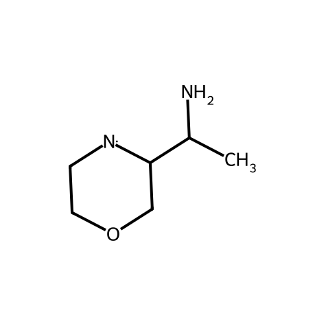 CC(N)C1COCC[N]1